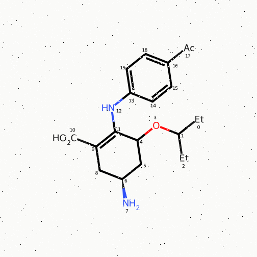 CCC(CC)OC1C[C@@H](N)CC(C(=O)O)=C1Nc1ccc(C(C)=O)cc1